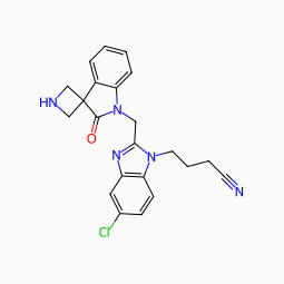 N#CCCCn1c(CN2C(=O)C3(CNC3)c3ccccc32)nc2cc(Cl)ccc21